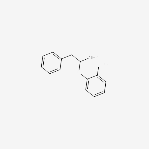 CC(=O)NC(Cc1ccccc1)Oc1ccccc1C=O